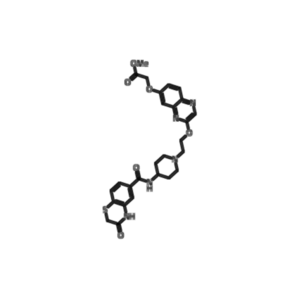 COC(=O)COc1ccc2ncc(OCCN3CCC(NC(=O)c4ccc5c(c4)NC(=O)CS5)CC3)nc2c1